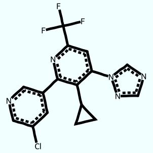 FC(F)(F)c1cc(-n2cncn2)c(C2CC2)c(-c2cncc(Cl)c2)n1